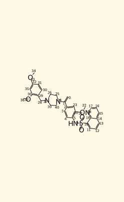 C=C(c1ccc(NS(=O)(=O)c2cccc3cccnc23)c(OC)c1)N1CCN(Cc2ccc(OC)cc2OC)CC1